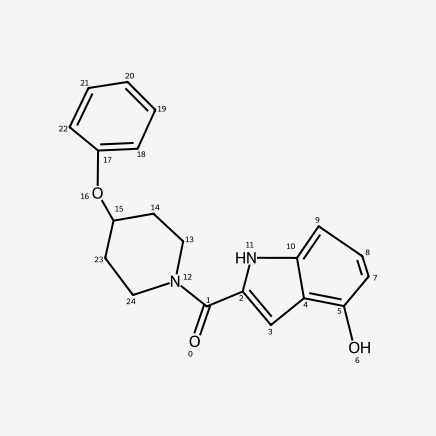 O=C(c1cc2c(O)cccc2[nH]1)N1CCC(Oc2ccccc2)CC1